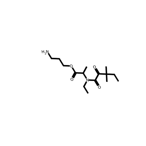 CCN(C(=O)C(=O)C(C)(C)CC)C(C)C(=O)OCCCN